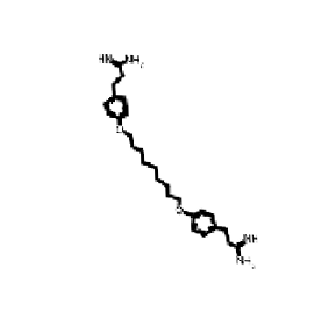 N=C(N)CCc1ccc(OCCCCCCCCCOc2ccc(CCC(=N)N)cc2)cc1